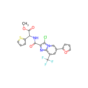 COC(=O)C(NC(=O)c1nc2c(C(F)(F)F)cc(-c3ccco3)cn2c1Cl)c1cccs1